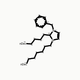 CCCCCCCCCCCCCCCCN1C=CN(Cc2ccccc2)C1CCCCCCCCCCCCCC